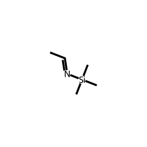 CC=N[Si](C)(C)C